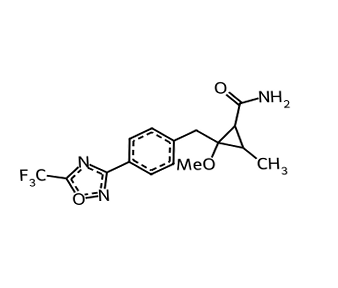 COC1(Cc2ccc(-c3noc(C(F)(F)F)n3)cc2)C(C)C1C(N)=O